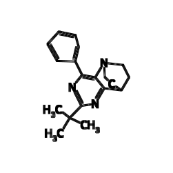 CC(C)(C)c1nc(-c2ccccc2)c2c(n1)C1CCN2CC1